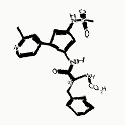 Cc1cc(-c2cc(NC(=O)[C@H](Cc3ccccc3)NC(=O)O)cc(NS(C)(=O)=O)c2)ccn1